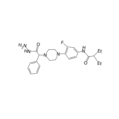 CCC(CC)C(=O)Nc1ccc(N2CCN(C(C(=O)NN)c3ccccc3)CC2)c(F)c1